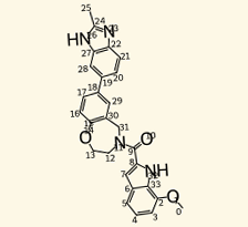 COc1cccc2cc(C(=O)N3CCOc4ccc(-c5ccc6nc(C)[nH]c6c5)cc4C3)[nH]c12